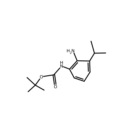 CC(C)c1cccc(NC(=O)OC(C)(C)C)c1N